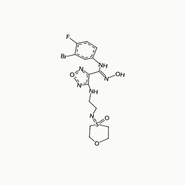 O=S1(=NCCNc2nonc2/C(=N/O)Nc2ccc(F)c(Br)c2)CCOCC1